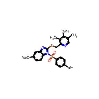 CCCc1ccc(S(=O)(=O)n2c(SCc3ncc(C)c(OC)c3C)nc3cc(OC)ccc32)cc1